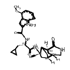 COc1cccc2[nH]c(C(=O)N[C@@H](CC3CC3)C(=O)N[C@@]3(C#N)C[C@@H]4CCC3[C@H]3C(=O)NC[C@H]43)cc12